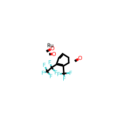 C=O.C=O.C=O.FC(F)(F)C1=C(C(F)(F)C(F)(F)F)C=CCC1.[Ru]